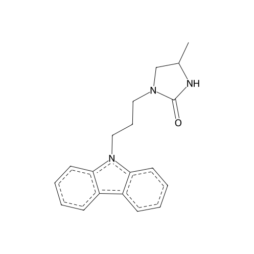 CC1CN(CCCn2c3ccccc3c3ccccc32)C(=O)N1